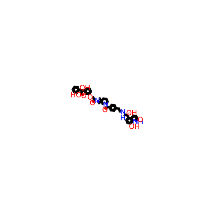 O=C(COc1cccc([C@](O)(C(=O)O)c2ccccc2)c1)N1CC2(CCCN(C(=O)c3ccc(CCNC[C@H](O)c4ccc(O)c5[nH]c(=O)ccc45)cc3)C2)C1